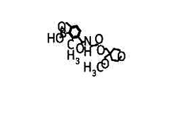 COCC1(COC(=O)CNC(=O)c2ccc3c(c2C)B(O)OC3)CCOCC1